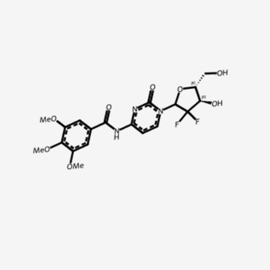 COc1cc(C(=O)Nc2ccn(C3O[C@H](CO)[C@@H](O)C3(F)F)c(=O)n2)cc(OC)c1OC